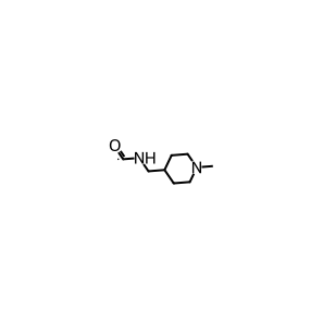 CN1CCC(CN[C]=O)CC1